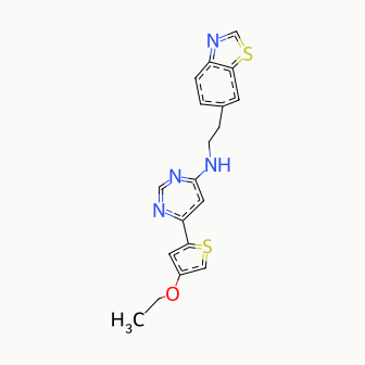 CCOc1csc(-c2cc(NCCc3ccc4ncsc4c3)ncn2)c1